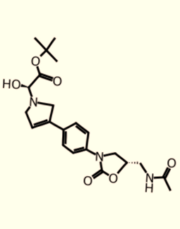 CC(=O)NC[C@H]1CN(c2ccc(C3=CCN([C@@H](O)C(=O)OC(C)(C)C)C3)cc2)C(=O)O1